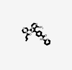 CC=CC(=O)N1CCOC[C@H]1c1nc(-c2ccc(C(=O)Nc3ccccn3)cc2)c2c(N)nccn12